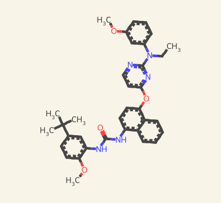 CCN(c1cccc(OC)c1)c1nccc(Oc2ccc(NC(=O)Nc3cc(C(C)(C)C)ccc3OC)c3ccccc23)n1